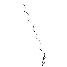 [C-]#[N+]CCCCCCCCCCCC